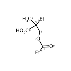 CCC(=O)OCC(C)(CC)C(=O)O